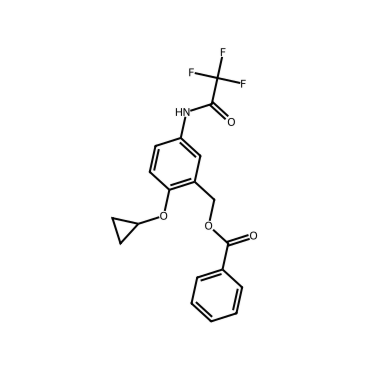 O=C(OCc1cc(NC(=O)C(F)(F)F)ccc1OC1CC1)c1ccccc1